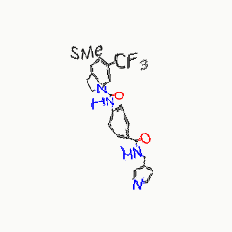 CSc1cc2c(cc1C(F)(F)F)N(C(=O)Nc1ccc(C(=O)NCc3ccncc3)cc1)CC2